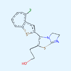 OCCC1=C(c2cc3c(F)cccc3s2)N2CCN=C2S1